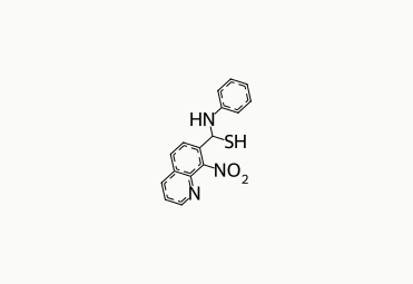 O=[N+]([O-])c1c(C(S)Nc2ccccc2)ccc2cccnc12